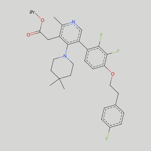 Cc1ncc(-c2ccc(OCCc3ccc(F)cc3)c(F)c2F)c(N2CCC(C)(C)CC2)c1CC(=O)OC(C)C